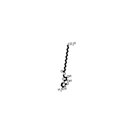 NC1C=CN(C2OC(COC(=O)CCCCCCCCCCCCCCC(=O)O)C(O)C2O)C(=O)N1